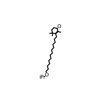 CC1=C(CCCCCCCCCCCCCCOC(C)C)C(C)(C)CCC1=O